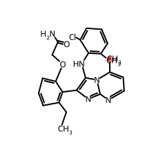 CCc1cccc(OCC(N)=O)c1-c1nc2nccc(C)n2c1Nc1c(C)cccc1Cl